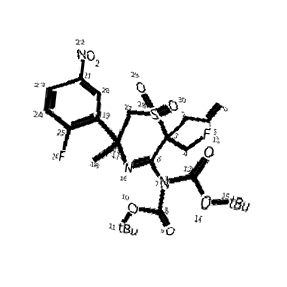 C=CCC1(CF)C(N(C(=O)OC(C)(C)C)C(=O)OC(C)(C)C)=NC(C)(c2cc([N+](=O)[O-])ccc2F)CS1(=O)=O